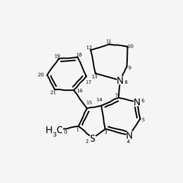 Cc1sc2ncnc(N3CCCCC3)c2c1-c1ccccc1